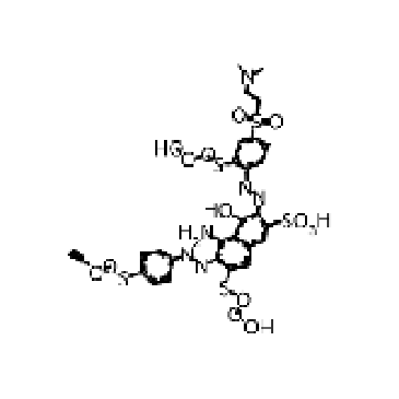 C#COOSc1ccc(N=Nc2c(SOOO)cc3cc(S(=O)(=O)O)c(N=Nc4ccc(S(=O)(=O)CCN(C)C)cc4SOOO)c(O)c3c2N)cc1